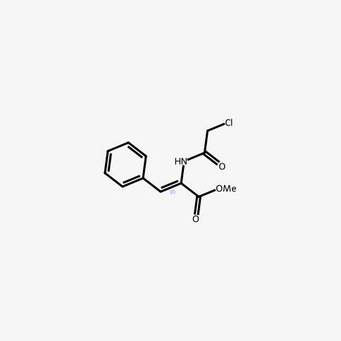 COC(=O)/C(=C/c1ccccc1)NC(=O)CCl